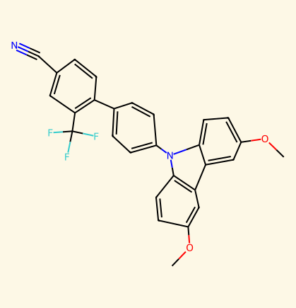 COc1ccc2c(c1)c1cc(OC)ccc1n2-c1ccc(-c2ccc(C#N)cc2C(F)(F)F)cc1